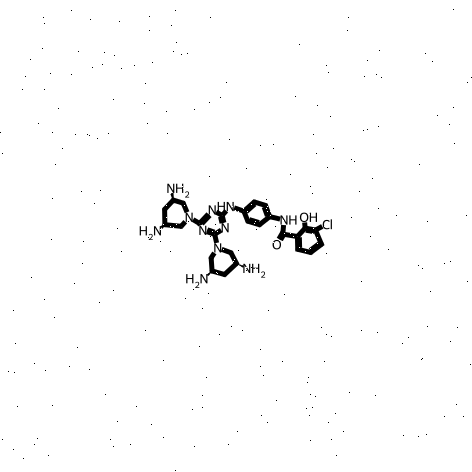 N[C@@H]1C[C@H](N)CN(c2nc(Nc3ccc(NC(=O)c4cccc(Cl)c4O)cc3)nc(N3C[C@H](N)C[C@H](N)C3)n2)C1